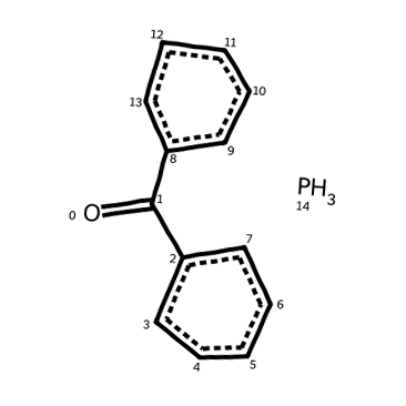 O=C(c1ccccc1)c1ccccc1.P